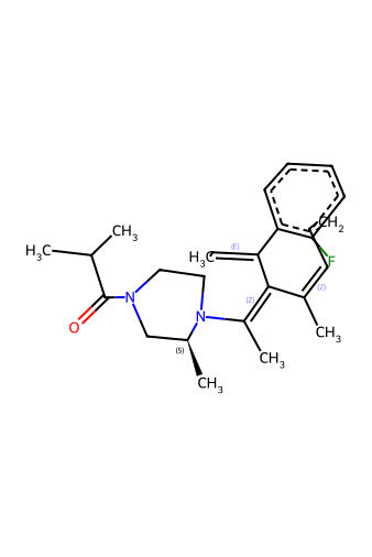 C=C\C=C(C)/C(=C(\C)N1CCN(C(=O)C(C)C)C[C@@H]1C)C(=C\C)/c1ccccc1F